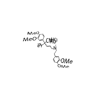 COc1ccc(CCN(C)CCCC(C#N)(c2ccc(OC)c(OC)c2)C(C)C)cc1OC.Cl.Cl